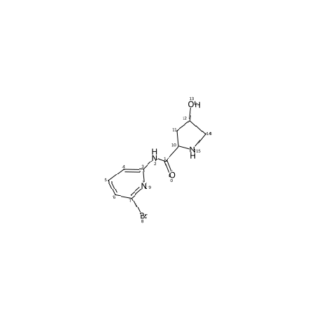 O=C(Nc1cccc(Br)n1)C1CC(O)CN1